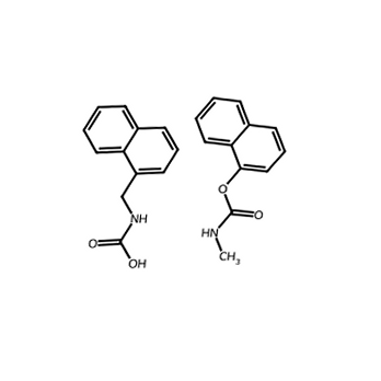 CNC(=O)Oc1cccc2ccccc12.O=C(O)NCc1cccc2ccccc12